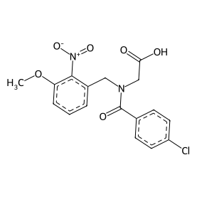 COc1cccc(CN(CC(=O)O)C(=O)c2ccc(Cl)cc2)c1[N+](=O)[O-]